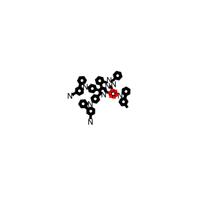 Cc1ccc2c(c1)c1ccccc1n2-c1ccc(-c2cc(-c3ccccc3-c3nc(-c4ccccc4)nc(-c4ccccc4)n3)c(-c3ccc(-n4c5ccccc5c5cc(C#N)ccc54)cc3)c(-c3ccc(-n4c5ccccc5c5cc(C#N)ccc54)cc3)n2)cc1